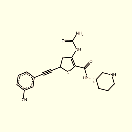 N#Cc1cccc(C#CC2CC(NC(N)=O)=C(C(=O)N[C@H]3CCCNC3)S2)c1